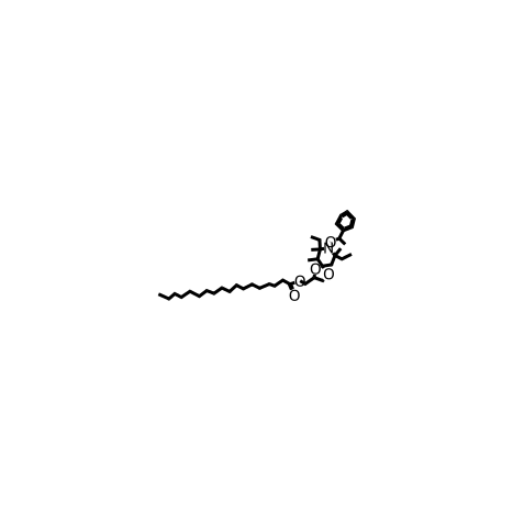 CCCCCCCCCCCCCCCCCC(=O)OCC1COC2(CC(C)(CC)N(OC(C)c3ccccc3)C(C)(CC)C2C)O1